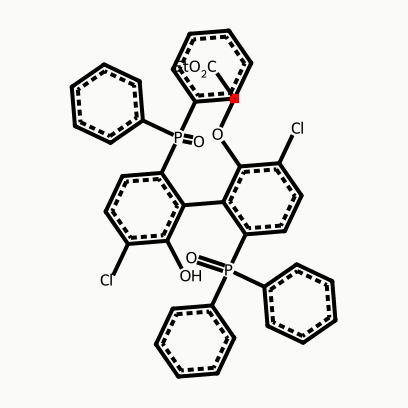 CCOC(=O)COc1c(Cl)ccc(P(=O)(c2ccccc2)c2ccccc2)c1-c1c(P(=O)(c2ccccc2)c2ccccc2)ccc(Cl)c1O